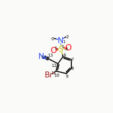 CN(C)S(=O)(=O)c1cccc(Br)c1C#N